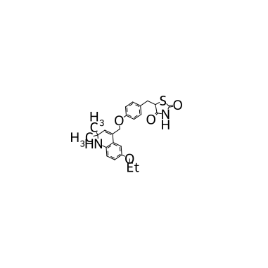 CCOc1ccc2c(c1)C(COc1ccc(CC3SC(=O)NC3=O)cc1)=CC(C)(C)N2